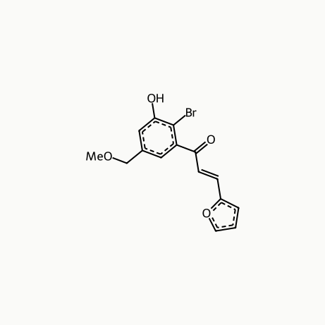 COCc1cc(O)c(Br)c(C(=O)/C=C/c2ccco2)c1